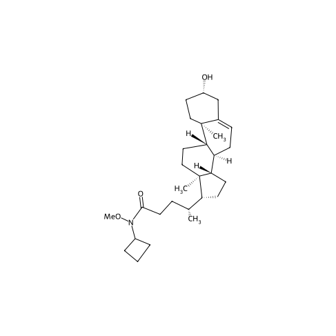 CON(C(=O)CC[C@@H](C)[C@H]1CC[C@H]2[C@@H]3CC=C4C[C@@H](O)CC[C@]4(C)[C@H]3CC[C@]12C)C1CCC1